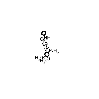 COc1cc2nc(N3CCN(C(=O)Nc4ccccc4)CC3)nc(N)c2cc1OC